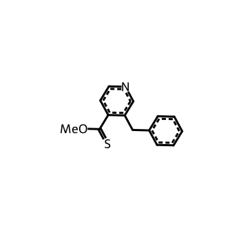 COC(=S)c1ccncc1Cc1ccccc1